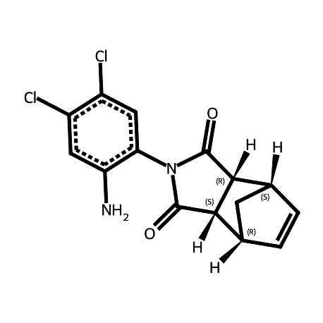 Nc1cc(Cl)c(Cl)cc1N1C(=O)[C@@H]2[C@H](C1=O)[C@@H]1C=C[C@H]2C1